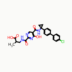 CC(CNC(=O)c1ncc(C(=O)NC2(c3ccc(-c4ccc(Cl)cc4)cc3)CC2)c(O)n1)C(=O)O